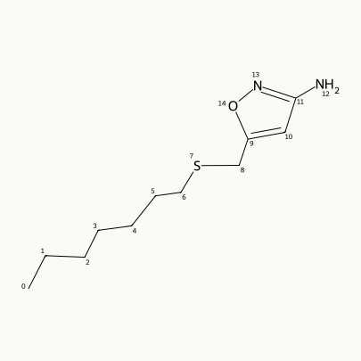 CCCCCCCSCc1cc(N)no1